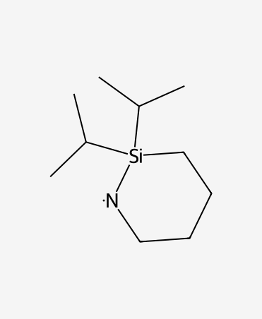 CC(C)[Si]1(C(C)C)CCCC[N]1